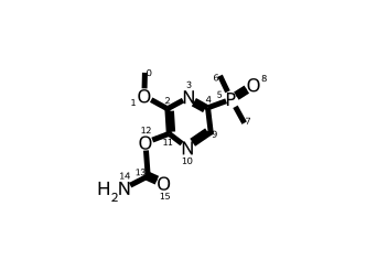 COc1nc(P(C)(C)=O)cnc1OC(N)=O